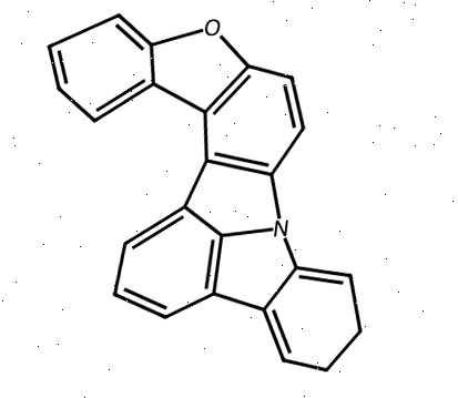 C1=c2c(n3c4ccc5oc6ccccc6c5c4c4cccc2c43)=CCC1